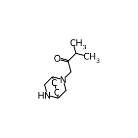 CC(C)C(=O)CN1CC2CCC1CN2